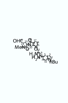 CCCCn1ccc2cc(N(N)/C=C(\N)COc3cccc4c3CN(C(CCC=O)C(=O)NC)C4=O)ccc21